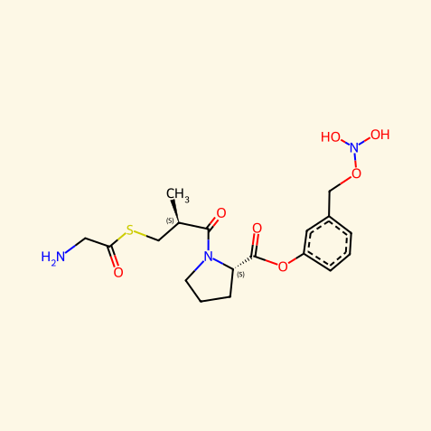 C[C@H](CSC(=O)CN)C(=O)N1CCC[C@H]1C(=O)Oc1cccc(CON(O)O)c1